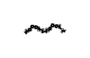 C=C(C)C(=O)OCCOC(=O)c1ccc(-c2cccc(-c3ccc(OC(=O)C(=C)CCC(=C)C(=O)OCC(=O)Oc4ccc(-c5cccc(-c6ccc(OC(=O)C(=C)C)cc6)c5)cc4)cc3)c2)cc1